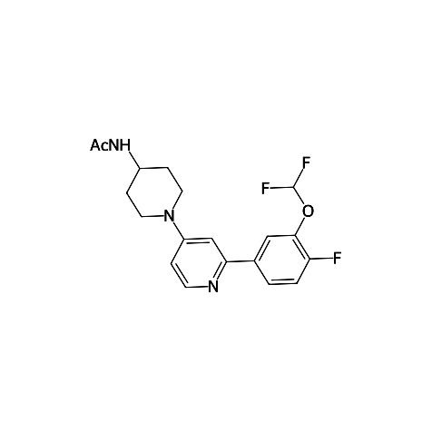 CC(=O)NC1CCN(c2ccnc(-c3ccc(F)c(OC(F)F)c3)c2)CC1